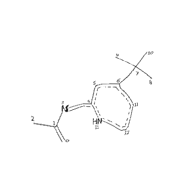 C=C(C)/N=c1/cc(C(C)(C)C)cc[nH]1